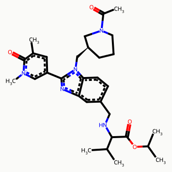 CC(=O)N1CCC[C@@H](Cn2c(-c3cc(C)c(=O)n(C)c3)nc3cc(CNC(C(=O)OC(C)C)C(C)C)ccc32)C1